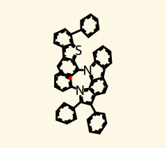 c1ccc(-c2c(-c3ccccc3)n(-c3ccccc3)c3c2ccc2c4ccccc4n(-c4cccc5c4sc4c(-c6ccccc6)cccc45)c23)cc1